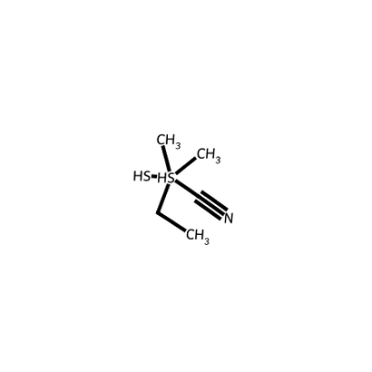 CC[SH](C)(C)(S)C#N